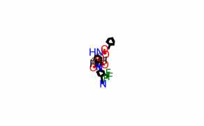 C[C@@]12O[C@@](C)(C[C@@H]1NC(=O)OCc1ccccc1)[C@@H]1C(=O)N(c3ccc(C#N)c(C(F)(F)F)c3)C(=O)[C@@H]12